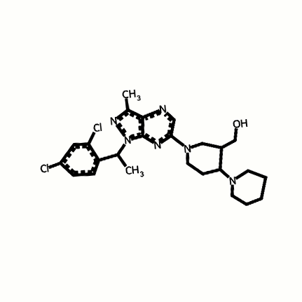 Cc1nn(C(C)c2ccc(Cl)cc2Cl)c2nc(N3CCC(N4CCCCC4)C(CO)C3)cnc12